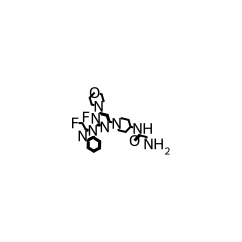 NCC(=O)NC1CCN(c2cc(N3CCOCC3)nc(-n3c(C(F)F)nc4ccccc43)n2)CC1